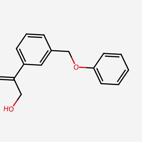 C=C(CO)c1cccc(COc2ccccc2)c1